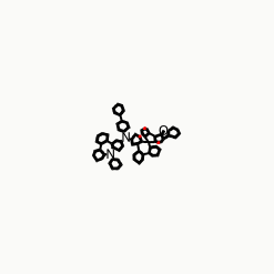 c1ccc(-c2ccc(N(c3ccc4c(c3)-c3ccccc3-c3ccccc3N4c3ccccc3)c3ccc4c(c3)-c3ccccc3-c3ccccc3C43c4ccccc4-c4c3ccc3c4oc4ccccc43)cc2)cc1